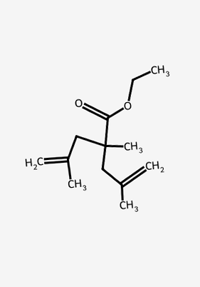 C=C(C)CC(C)(CC(=C)C)C(=O)OCC